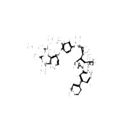 CC(C)n1c(=O)[nH]c2nccc(Oc3ccc(NC4OC4c4cnn(-c5cc(C6=CCOCC6)ccn5)c4C(F)(F)F)cc3F)c21